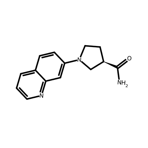 NC(=O)[C@@H]1CCN(c2ccc3cccnc3c2)C1